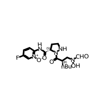 CCCC[C@H](CN(O)C=O)C(=O)N1NCC[C@H]1C(=O)Nc1ccc(F)c[n+]1[O-]